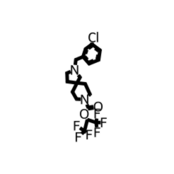 O=C(OC(C(F)(F)F)C(F)(F)F)N1CCC2(CCN(Cc3cccc(Cl)c3)C2)CC1